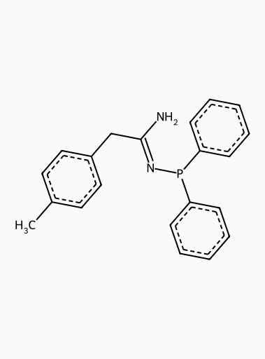 Cc1ccc(CC(N)=NP(c2ccccc2)c2ccccc2)cc1